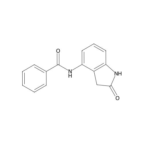 O=C1Cc2c(cccc2NC(=O)c2ccccc2)N1